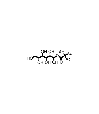 CC(=O)C(C(C)=O)(C(C)=O)C(=O)OC(O)[C@H](O)[C@@H](O)[C@H](O)[C@H](O)CO